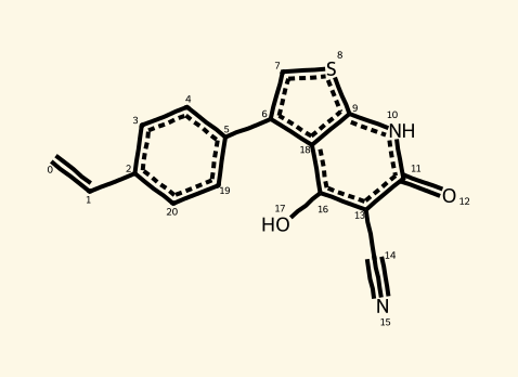 C=Cc1ccc(-c2csc3[nH]c(=O)c(C#N)c(O)c23)cc1